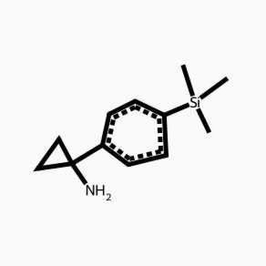 C[Si](C)(C)c1ccc(C2(N)CC2)cc1